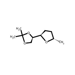 C[C@H]1CC[C@H]([C@H]2COC(C)(C)O2)O1